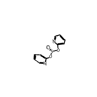 O=S(Oc1ccccn1)Oc1ccccn1